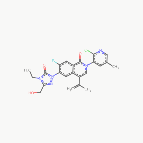 C=C(C)c1cn(-c2cc(C)cnc2Cl)c(=O)c2cc(F)c(-n3nc(CO)n(CC)c3=O)cc12